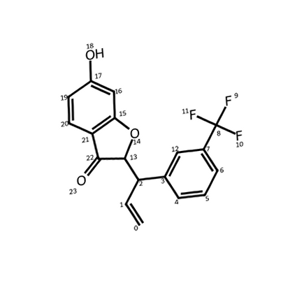 C=CC(c1cccc(C(F)(F)F)c1)C1Oc2cc(O)ccc2C1=O